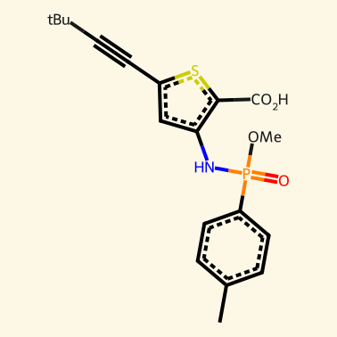 COP(=O)(Nc1cc(C#CC(C)(C)C)sc1C(=O)O)c1ccc(C)cc1